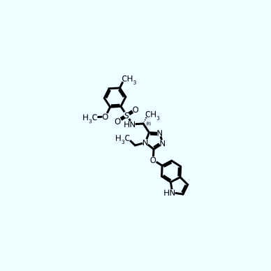 CCn1c(Oc2ccc3cc[nH]c3c2)nnc1[C@@H](C)NS(=O)(=O)c1cc(C)ccc1OC